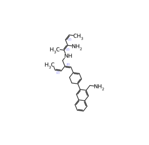 C/C=C\C(N)=C(/C)NCC(/C=C\C)=C/C1=CC=C(c2cc3ccccc3cc2CN)CC1